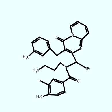 Cc1cccc(Cc2c(C(C(C)C)N(CCCN)C(=O)c3ccc(C)c(F)c3)nc3ccccn3c2=O)c1